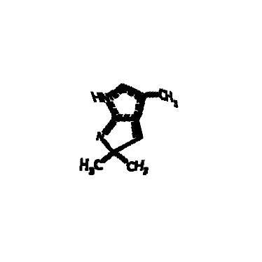 Cc1c[nH]c2c1=CC(C)(C)N=2